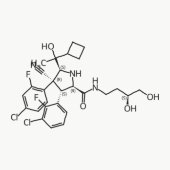 CC(O)(C1CCC1)[C@H]1N[C@@H](C(=O)NCC[C@H](O)CO)[C@H](c2cccc(Cl)c2F)[C@@]1(C#N)c1ccc(Cl)cc1F